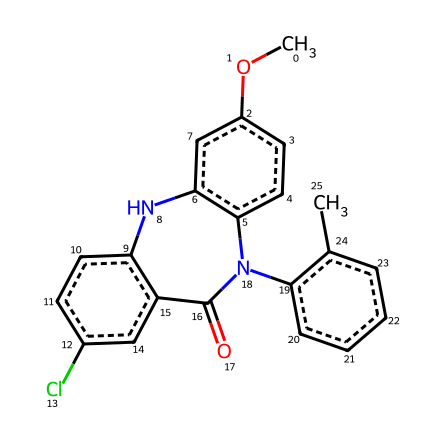 COc1ccc2c(c1)Nc1ccc(Cl)cc1C(=O)N2c1ccccc1C